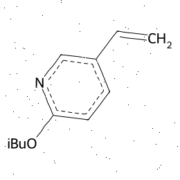 C=Cc1ccc(OCC(C)C)nc1